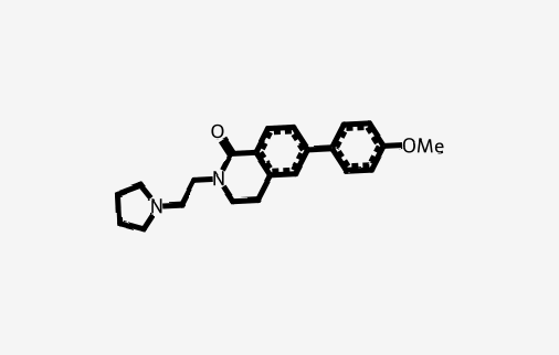 COc1ccc(-c2ccc3c(c2)CCN(CCN2CCCC2)C3=O)cc1